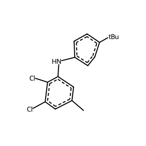 Cc1cc(Cl)c(Cl)c(Nc2ccc(C(C)(C)C)cc2)c1